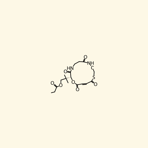 CCC(=O)OCC(C)(C)[C@H]1OC(=O)/C=C/C(=O)SCCNC(=O)CCNC1=O